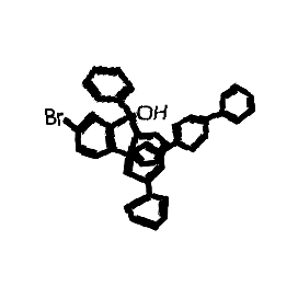 OC(c1ccccc1)(c1ccccc1)c1cc(Br)ccc1-c1cc(-c2ccccc2)cc(-c2ccc(-c3ccccc3)cc2)c1